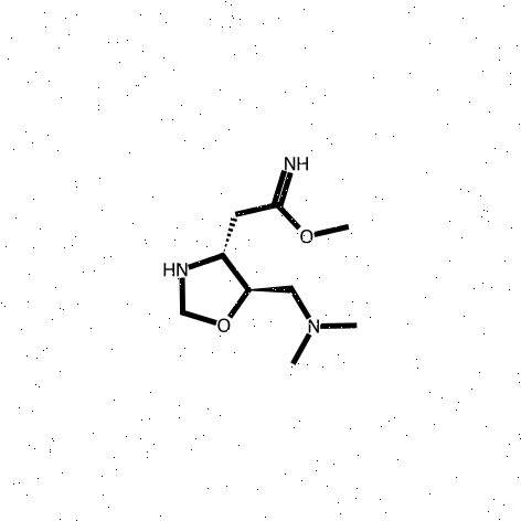 COC(=N)C[C@H]1NCO[C@@H]1CN(C)C